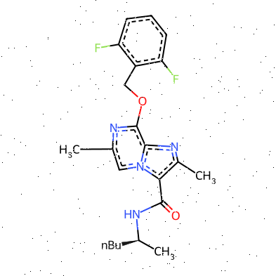 CCCC[C@H](C)NC(=O)c1c(C)nc2c(OCc3c(F)cccc3F)nc(C)cn12